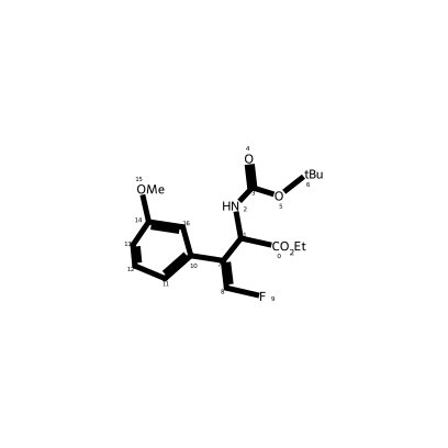 CCOC(=O)C(NC(=O)OC(C)(C)C)C(=CF)c1cccc(OC)c1